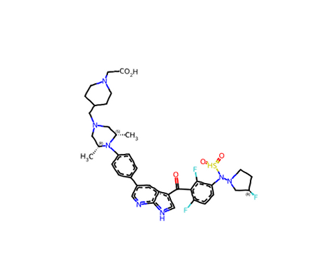 C[C@@H]1CN(CC2CCN(CC(=O)O)CC2)C[C@H](C)N1c1ccc(-c2cnc3[nH]cc(C(=O)c4c(F)ccc(N(N5CC[C@@H](F)C5)[SH](=O)=O)c4F)c3c2)cc1